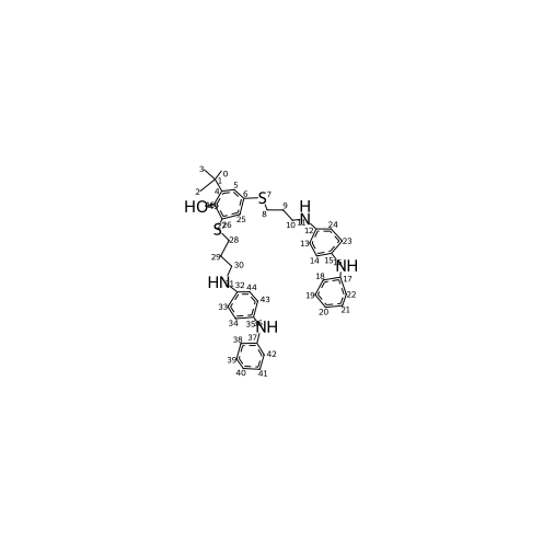 CC(C)(C)c1cc(SCCCNc2ccc(Nc3ccccc3)cc2)cc(SCCCNc2ccc(Nc3ccccc3)cc2)c1O